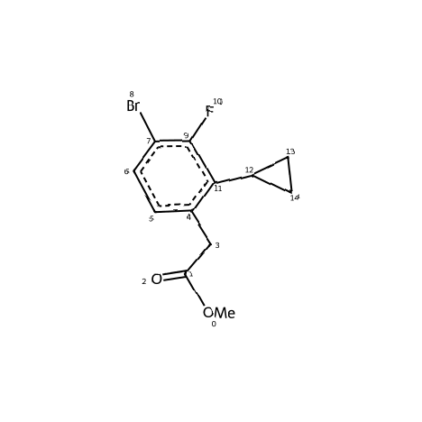 COC(=O)Cc1ccc(Br)c(F)c1C1CC1